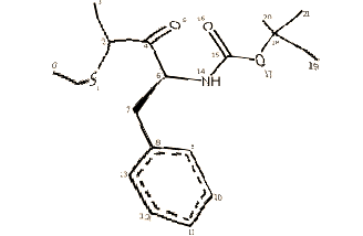 CSC(C)C(=O)[C@H](Cc1ccccc1)NC(=O)OC(C)(C)C